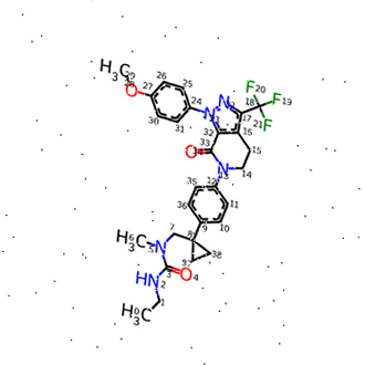 CCNC(=O)N(C)CC1(c2ccc(N3CCc4c(C(F)(F)F)nn(-c5ccc(OC)cc5)c4C3=O)cc2)CC1